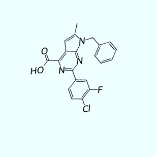 Cc1cc2c(C(=O)O)nc(-c3ccc(Cl)c(F)c3)nc2n1Cc1ccccc1